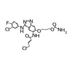 NC(=O)OCCCOc1cc2ncnc(Nc3ccc(F)c(Cl)c3)c2cc1NC(=O)C=CCCl